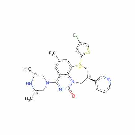 C[C@@H]1CN(c2nc(=O)n3c4c(cc(C(F)(F)F)cc24)[SH](c2cc(Cl)cs2)C[C@@H](c2cccnc2)C3)C[C@H](C)N1